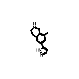 Cc1cc(-c2ccn[nH]2)cc2c1CNCC2